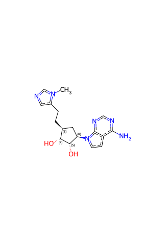 Cn1cncc1CC[C@H]1C[C@@H](n2ccc3c(N)ncnc32)[C@H](O)[C@@H]1O